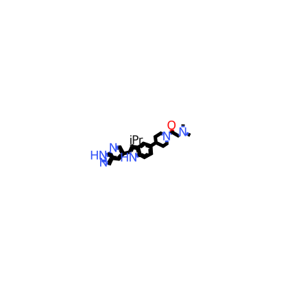 CC(C)c1c(-c2cnc3[nH]ncc3c2)[nH]c2ccc(C3CCN(C(=O)CN(C)C)CC3)cc12